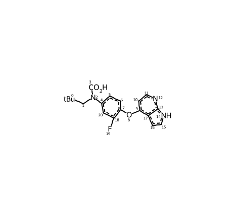 CC(C)(C)CN(C(=O)O)c1ccc(Oc2ccnc3[nH]ccc23)c(F)c1